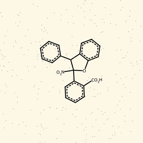 O=C(O)c1ccccc1C1([N+](=O)[O-])Oc2ccccc2C1c1ccccc1